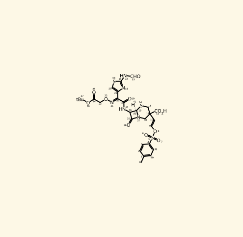 Cc1ccc(S(=O)(=O)OC=CC2(C(=O)O)CS[C@@H]3C(NC(=O)C(=NOCC(=O)OC(C)(C)C)c4csc(NC=O)n4)C(=O)N3C2)cc1